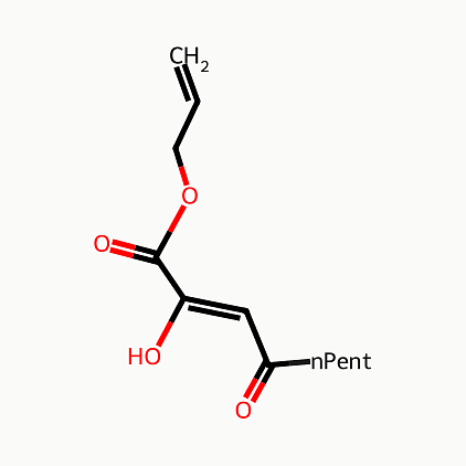 C=CCOC(=O)C(O)=CC(=O)CCCCC